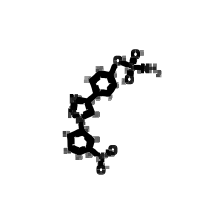 NS(=O)(=O)Oc1ccc(-c2cn(-c3cccc([N+](=O)[O-])c3)nn2)cc1